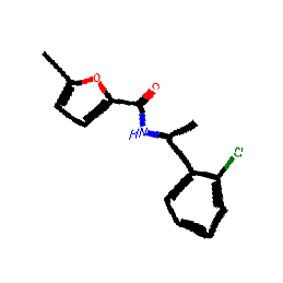 Cc1ccc(C(=O)NC(C)c2ccccc2Cl)o1